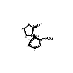 CCCCc1ccccc1.O=C1CCCN1